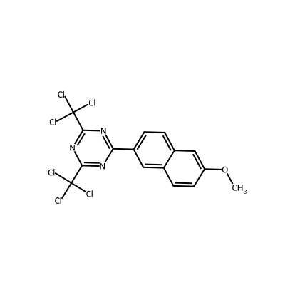 COc1ccc2cc(-c3nc(C(Cl)(Cl)Cl)nc(C(Cl)(Cl)Cl)n3)ccc2c1